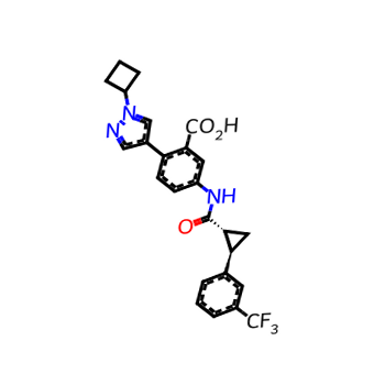 O=C(O)c1cc(NC(=O)[C@@H]2C[C@H]2c2cccc(C(F)(F)F)c2)ccc1-c1cnn(C2CCC2)c1